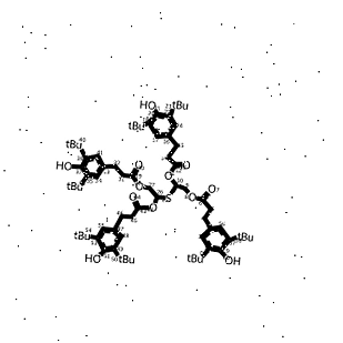 CC(C)(C)c1cc(CCC(=O)OCC(OC(=O)CCc2cc(C(C)(C)C)c(O)c(C(C)(C)C)c2)SC(COC(=O)CCc2cc(C(C)(C)C)c(O)c(C(C)(C)C)c2)OC(=O)CCc2cc(C(C)(C)C)c(O)c(C(C)(C)C)c2)cc(C(C)(C)C)c1O